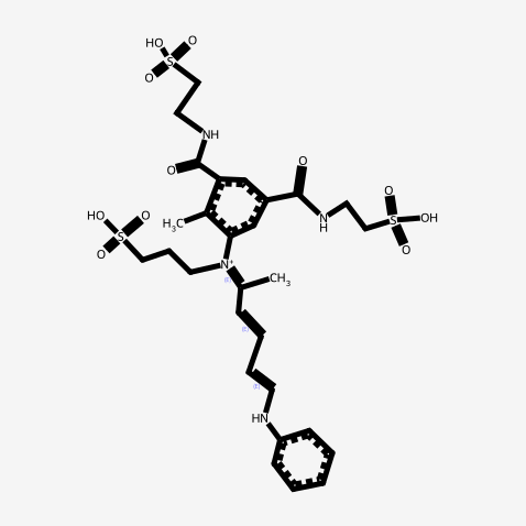 CC(/C=C/C=C/Nc1ccccc1)=[N+](/CCCS(=O)(=O)O)c1cc(C(=O)NCCS(=O)(=O)O)cc(C(=O)NCCS(=O)(=O)O)c1C